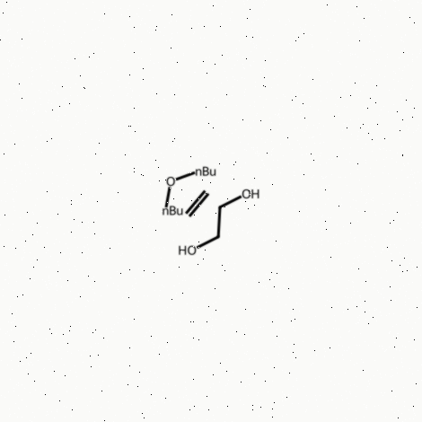 C=C.CCCCOCCCC.OCCO